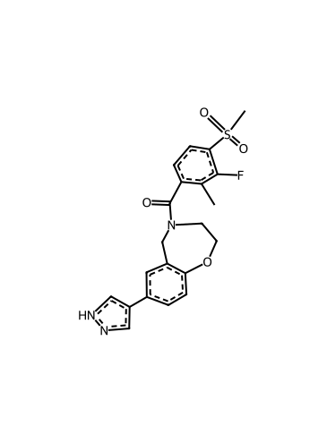 Cc1c(C(=O)N2CCOc3ccc(-c4cn[nH]c4)cc3C2)ccc(S(C)(=O)=O)c1F